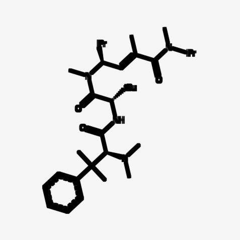 C/C(=C\[C@H](C(C)C)N(C)C(=O)[C@@H](NC(=O)[C@@H](N(C)C)C(C)(C)c1ccccc1)C(C)(C)C)C(=O)N(C)C(C)C